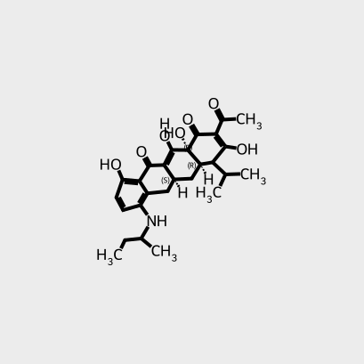 CCC(C)Nc1ccc(O)c2c1C[C@@H]1C[C@@H]3C(C(C)C)C(O)=C(C(C)=O)C(=O)[C@]3(O)C(O)=C1C2=O